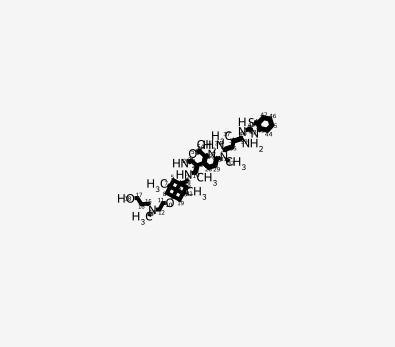 C/C(NCC12CC3(C)CC4(OCCN(C)CCCO)CC(C)(C1)C324)=C(/C=N)c1ccc(N(C)/C(N)=C/C(C)=C(\N)Nc2nc3ccccc3s2)nc1C(=O)O